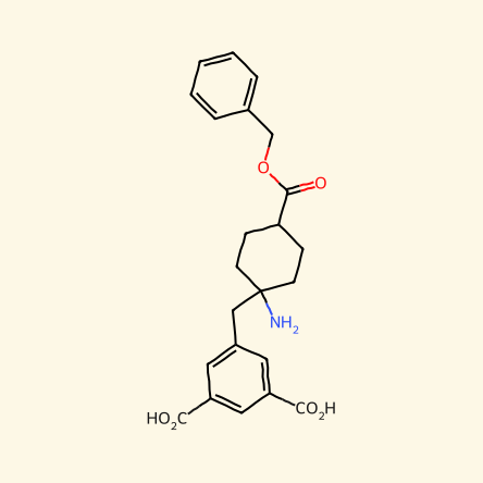 NC1(Cc2cc(C(=O)O)cc(C(=O)O)c2)CCC(C(=O)OCc2ccccc2)CC1